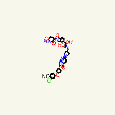 N#Cc1ccc(OC2CCC(NC(=O)c3ccc(N4CCC(CN5CC(O)([C@@H](O)c6ccc7c(c6)CN(C6CCC(=O)NC6=O)C7=O)C5)CC4)nn3)CC2)cc1Cl